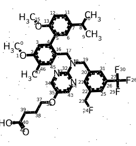 COc1cc(-c2cc(C(C)C)ccc2OC)c(CN(Cc2cc(CF)cc(C(F)(F)F)c2)c2ncc(OCCCC(=O)O)cn2)cc1C